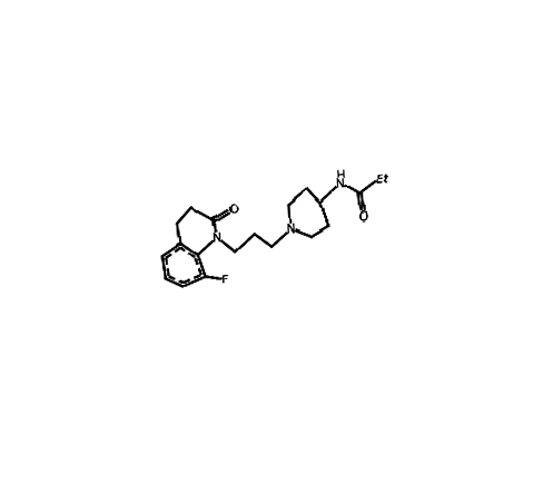 CCC(=O)NC1CCN(CCCN2C(=O)CCc3cccc(F)c32)CC1